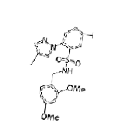 COc1ccc(CNS(=O)(=O)c2cc(I)ccc2-n2cc(C)cn2)c(OC)c1